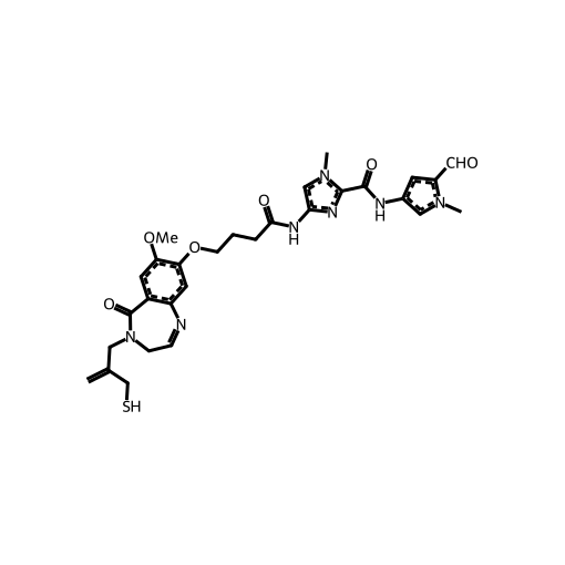 C=C(CS)CN1CC=Nc2cc(OCCCC(=O)Nc3cn(C)c(C(=O)Nc4cc(C=O)n(C)c4)n3)c(OC)cc2C1=O